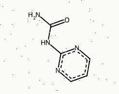 NC(=O)Nc1ncccn1